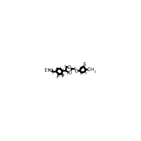 CCOCc1ccc(C2COC(COc3ccc(C)c(F)c3)OC2)c(F)c1F